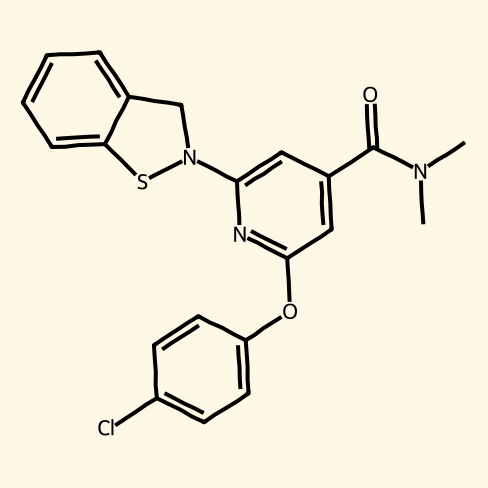 CN(C)C(=O)c1cc(Oc2ccc(Cl)cc2)nc(N2Cc3ccccc3S2)c1